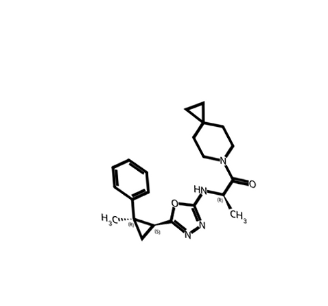 C[C@@H](Nc1nnc([C@H]2C[C@@]2(C)c2ccccc2)o1)C(=O)N1CCC2(CC1)CC2